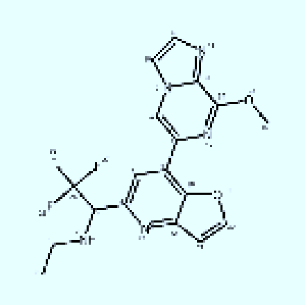 CCNC(c1cc(-c2cn3ccnc3c(OC)n2)c2occc2n1)C(F)(F)F